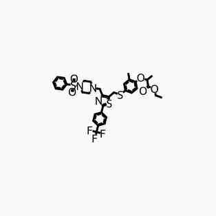 CCOC(=O)C(C)Oc1ccc(SCc2sc(-c3ccc(C(F)(F)F)cc3)nc2CN2CCN(S(=O)(=O)c3ccccc3)CC2)cc1C